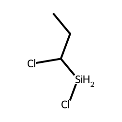 CCC(Cl)[SiH2]Cl